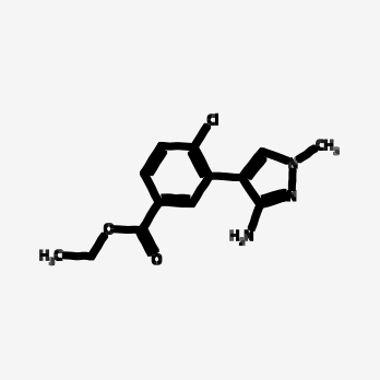 CCOC(=O)c1ccc(Cl)c(-c2cn(C)nc2N)c1